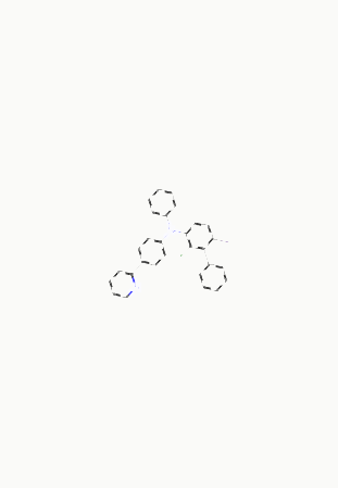 Clc1c(N(c2ccccc2)c2ccc(-c3ccccn3)cc2)ccc(I)c1-c1ccccc1